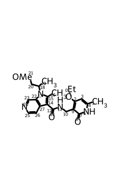 CCOc1cc(C)[nH]c(=O)c1CNC(=O)c1c(C)n(C(C)COC)c2cnccc12